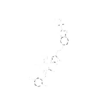 CC(C)C(C(=O)NCc1cc(F)ccc1F)n1cc(COc2ccc3nc(S(N)(=O)=O)sc3c2)nn1